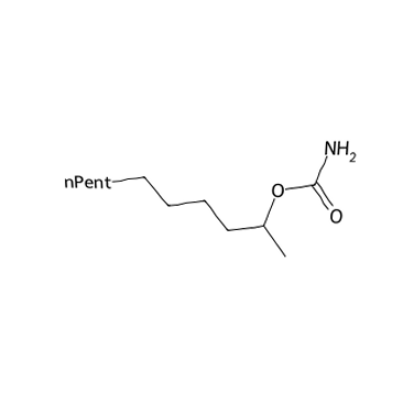 CCCCCCCCCC(C)OC(N)=O